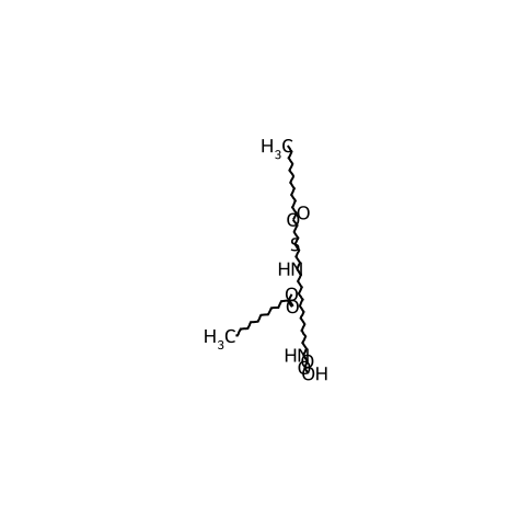 CCCCCCCCCCCC(=O)OCCCSCCCNCCCC(CCCCCCCCCNOOO)OC(=O)CCCCCCCCCCC